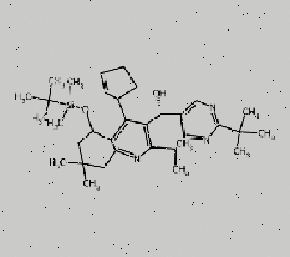 CC(C)c1nc2c(c(C3C=CCC3)c1[C@H](O)c1cnc(C(C)(C)C)nc1)C(O[Si](C)(C)C(C)(C)C)CC(C)(C)C2